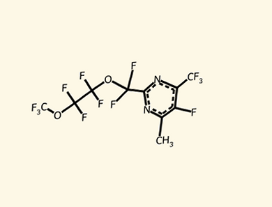 Cc1nc(C(F)(F)OC(F)(F)C(F)(F)OC(F)(F)F)nc(C(F)(F)F)c1F